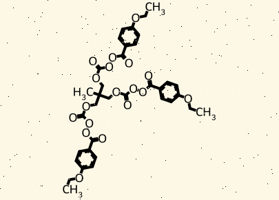 CCOc1ccc(C(=O)OOC(=O)OCC(C)(COC(=O)OOC(=O)c2ccc(OCC)cc2)COC(=O)OOC(=O)c2ccc(OCC)cc2)cc1